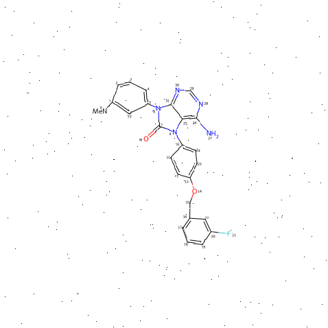 CNc1cccc(-n2c(=O)n(-c3ccc(OCc4cccc(F)c4)cc3)c3c(N)ncnc32)c1